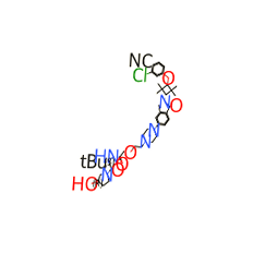 CC(C)(C)[C@H](NC(=O)COCCN1CCN(c2ccc3c(c2)CN([C@H]2C(C)(C)[C@H](Oc4ccc(C#N)c(Cl)c4)C2(C)C)C3=O)CC1)C(=O)N1CC[C@@H](O)C1